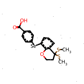 CSC1(SC)CCOc2c([Se]c3ccc(C(=O)O)cc3)cccc21